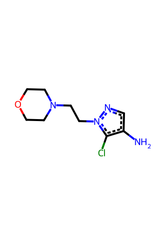 Nc1cnn(CCN2CCOCC2)c1Cl